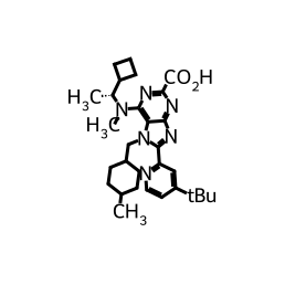 CC1CCC(Cn2c(-c3cc(C(C)(C)C)ccn3)nc3nc(C(=O)O)nc(N(C)[C@H](C)C4CCC4)c32)CC1